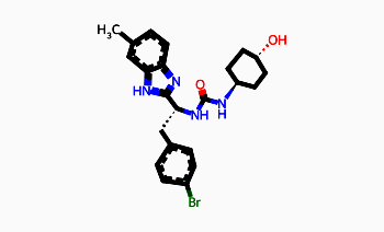 Cc1ccc2nc([C@@H](Cc3ccc(Br)cc3)NC(=O)N[C@H]3CC[C@H](O)CC3)[nH]c2c1